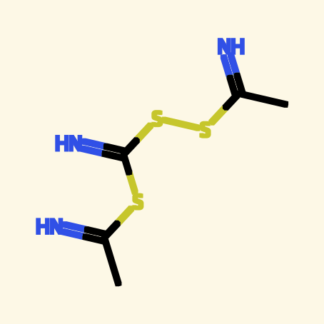 CC(=N)SSC(=N)SC(C)=N